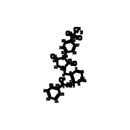 O=C(Nc1cnccc1CN1CC(=O)N(c2ccc(S(=O)(=O)C(F)(F)F)cc2)C1=O)c1ccccc1